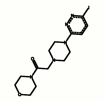 O=C(CN1CCN(c2ccc(I)nn2)CC1)N1CCOCC1